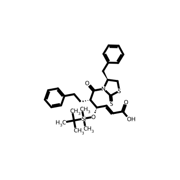 CC(C)(C)[Si](C)(C)O[C@@H](/C=C/C(=O)O)[C@H](CCc1ccccc1)C(=O)N1C(=S)SC[C@@H]1Cc1ccccc1